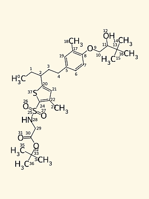 CCC(CCc1ccc(OCC(O)C(C)(C)C)c(C)c1)c1cc(C)c(S(=O)(=O)NCC(=O)OC(C)(C)C)s1